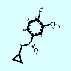 Cc1cc([S+]([O-])CC2CC2)ccc1F